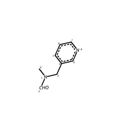 CN(C=O)Cc1cccnc1